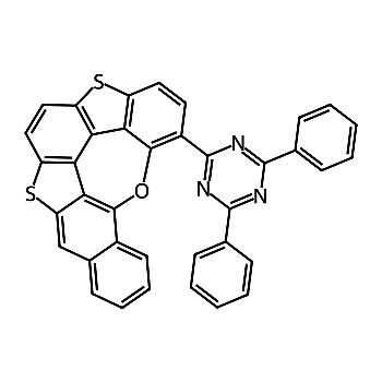 c1ccc(-c2nc(-c3ccccc3)nc(-c3ccc4sc5ccc6sc7cc8ccccc8c8oc3c4c5c6c78)n2)cc1